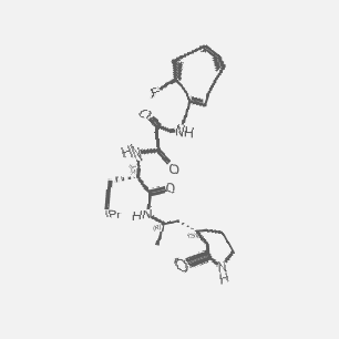 CC(C)C[C@H](NC(=O)C(=O)Nc1ccccc1F)C(=O)N[C@H](C)C[C@@H]1CCNC1=O